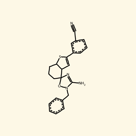 N#Cc1cccc(C2=CC3C(CCCC34N=C(N)N(Cc3ccccc3)O4)S2)c1